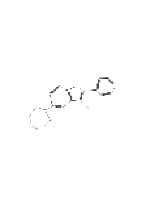 CC(C)c1c(-c2ccncc2)[nH]c2ccc(C3CCNCC3)cc12